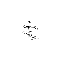 O=P([O-])([O-])[O-].O=[N+]([O-])[O-].[Ca+2].[Zn+2]